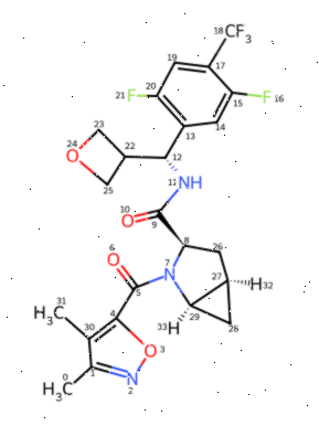 Cc1noc(C(=O)N2[C@@H](C(=O)N[C@@H](c3cc(F)c(C(F)(F)F)cc3F)C3COC3)C[C@H]3C[C@H]32)c1C